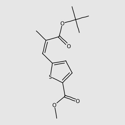 COC(=O)c1ccc(C=C(C)C(=O)OC(C)(C)C)s1